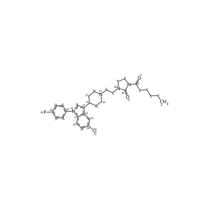 CCCCCC(=O)N1CCN(CCN2CCC(c3cn(-c4ccc(F)cc4)c4ccc(Cl)cc34)CC2)C1=O